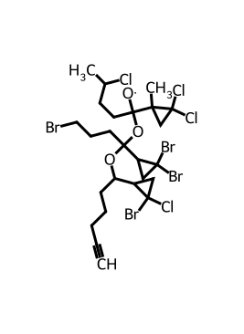 C#CCCCC(OC(CCCBr)(OC([O])(CCC(C)Cl)C1(C)CC1(Cl)Cl)C1CC1(Br)Br)C1CC1(Cl)Br